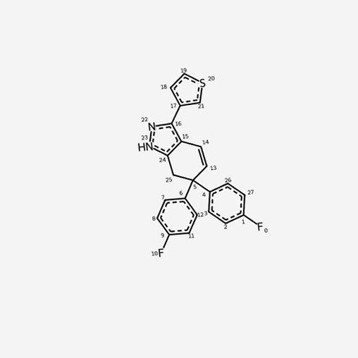 Fc1ccc(C2(c3ccc(F)cc3)C=Cc3c(-c4ccsc4)n[nH]c3C2)cc1